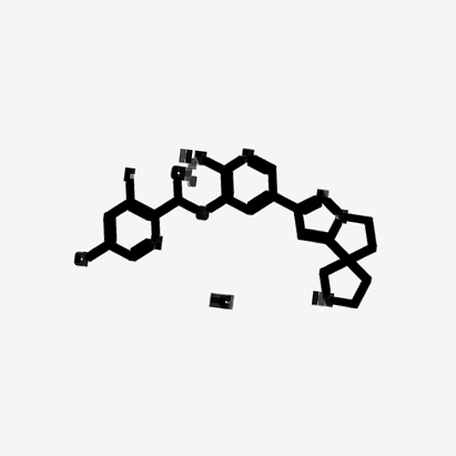 CC(Oc1cc(-c2cc3n(n2)CCC32CCNC2)cnc1N)c1ncc(Cl)cc1F.Cl